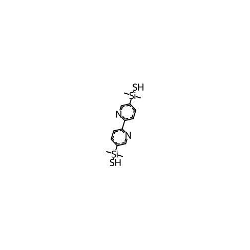 C[Si](C)(S)c1ccc(-c2ccc([Si](C)(C)S)cn2)nc1